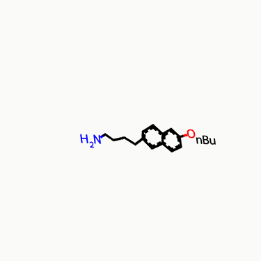 CCCCOc1ccc2cc(CCCCN)ccc2c1